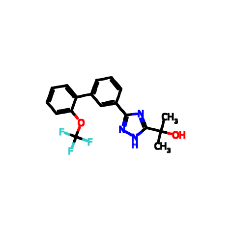 CC(C)(O)c1nc(-c2cccc(-c3ccccc3OC(F)(F)F)c2)n[nH]1